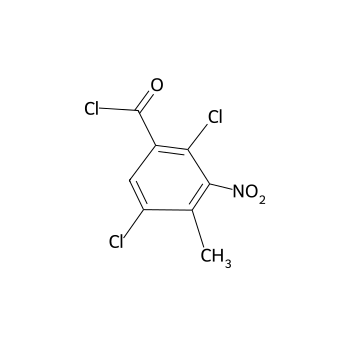 Cc1c(Cl)cc(C(=O)Cl)c(Cl)c1[N+](=O)[O-]